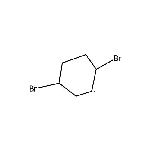 BrC1[CH]CC(Br)[CH]C1